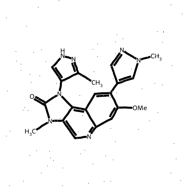 COc1cc2ncc3c(c2cc1-c1cnn(C)c1)n(-c1c[nH]nc1C)c(=O)n3C